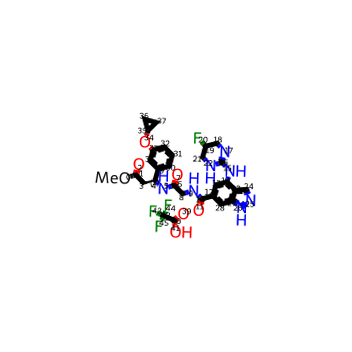 COC(=O)C[C@H](NC(=O)CNC(=O)c1cc(NC2=NCC(F)CN2)c2cn[nH]c2c1)c1cccc(OC2CC2)c1.O=C(O)C(F)(F)F